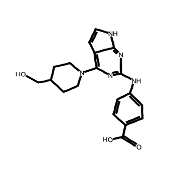 O=C(O)c1ccc(Nc2nc(N3CCC(CO)CC3)c3cc[nH]c3n2)cc1